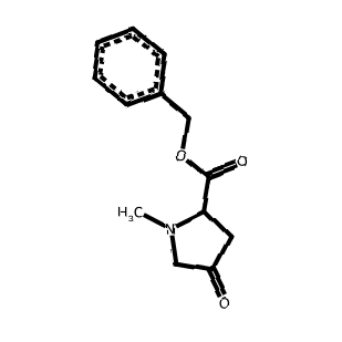 CN1CC(=O)CC1C(=O)OCc1ccccc1